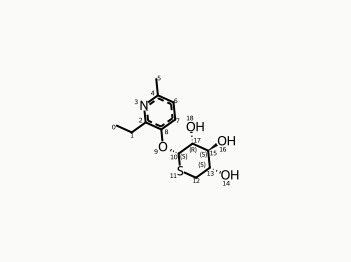 CCc1nc(C)ccc1O[C@H]1SC[C@@H](O)[C@H](O)[C@H]1O